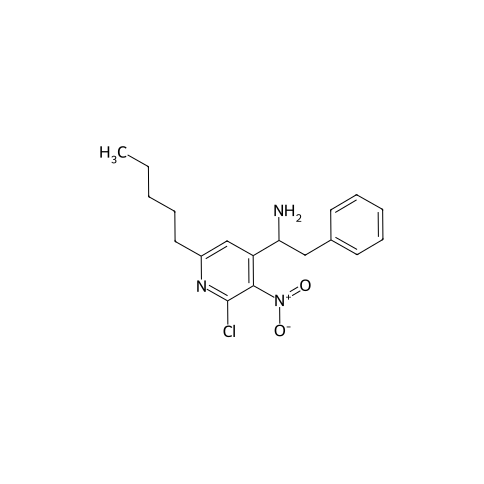 CCCCCc1cc(C(N)Cc2ccccc2)c([N+](=O)[O-])c(Cl)n1